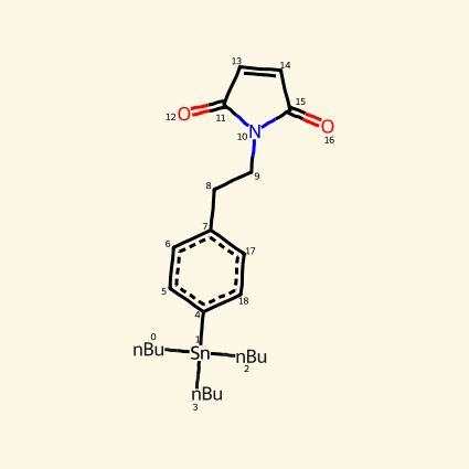 CCC[CH2][Sn]([CH2]CCC)([CH2]CCC)[c]1ccc(CCN2C(=O)C=CC2=O)cc1